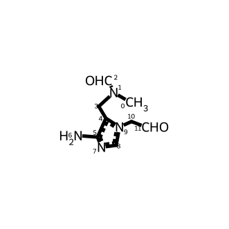 CN(C=O)Cc1c(N)ncn1CC=O